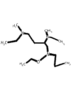 CCCN(OCC)C(CCN(C)CC)N(C)C